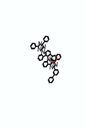 c1ccc(-c2cccc(-c3nc(-c4ccccc4)nc(-c4ccccc4-n4c5ccccc5c5ccc6c(c7ccccc7n6-c6nc(-c7ccccc7)nc(-c7ccccc7)n6)c54)n3)c2)cc1